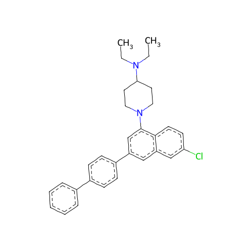 CCN(CC)C1CCN(c2cc(-c3ccc(-c4ccccc4)cc3)cc3cc(Cl)ccc23)CC1